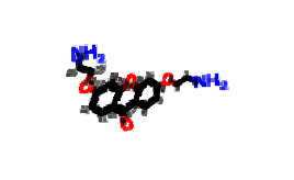 NCCOc1ccc2c(=O)c3ccc(OCCN)cc3oc2c1